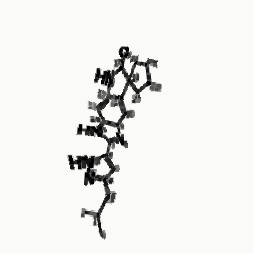 CC(C)Cc1cc(-c2nc3cc4c(cc3[nH]2)NC(=O)C42CCCC2)[nH]n1